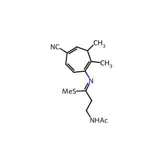 CS/C(CCNC(C)=O)=N\C1=C(C)C(C)C=C(C#N)C=C1